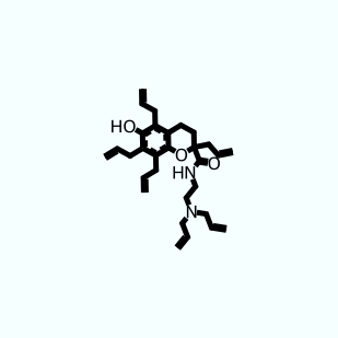 C=CCc1c(O)c(CC=C)c2c(c1CC=C)OC(CC=C)(C(=O)NCCN(CC=C)CC=C)CC2